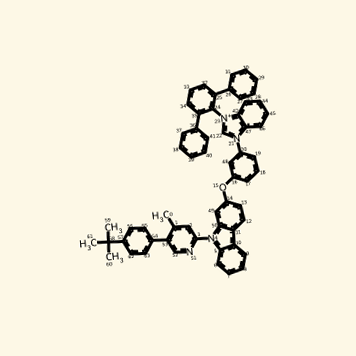 Cc1cc(-n2c3ccccc3c3ccc(Oc4cccc(-n5c[n+](-c6c(-c7ccccc7)cccc6-c6ccccc6)c6ccccc65)c4)cc32)ncc1-c1ccc(C(C)(C)C)cc1